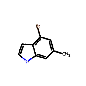 Cc1cc(Br)c2c(c1)[N]C=C2